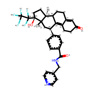 CC12C[C@H](c3ccc(C(=O)NCc4ccncc4)cc3)C3=C4CCC(=O)C=C4CCC3[C@@H]1CC[C@@]2(O)C(F)(F)C(F)(F)F